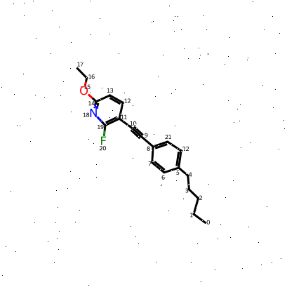 CCCCCc1ccc(C#Cc2ccc(OCC)nc2F)cc1